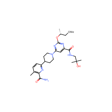 COC[C@@H](C)Oc1nc(C(=O)NCC(C)(C)O)cc(N2CCC(c3ccc(C)c(C(N)=O)n3)CC2)n1